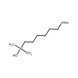 CCCCCCCCCCCC[N+](C)(C)O